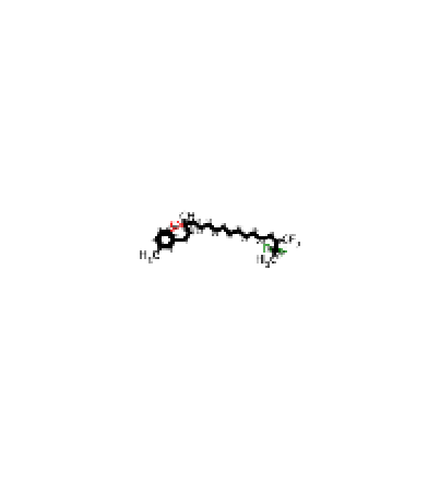 Cc1ccc2c(c1)CCC(C)(CCCCCCCCCCCC(C(C)(F)F)C(F)(F)F)O2